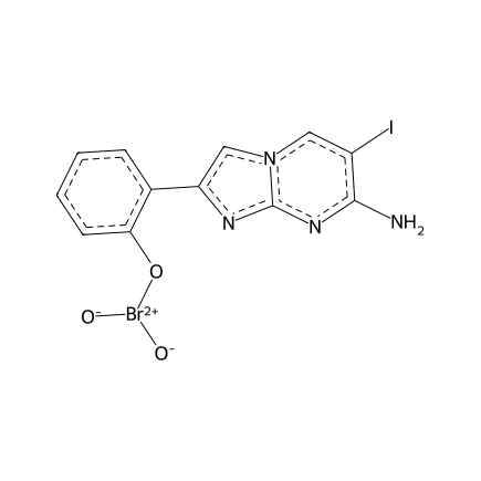 Nc1nc2nc(-c3ccccc3O[Br+2]([O-])[O-])cn2cc1I